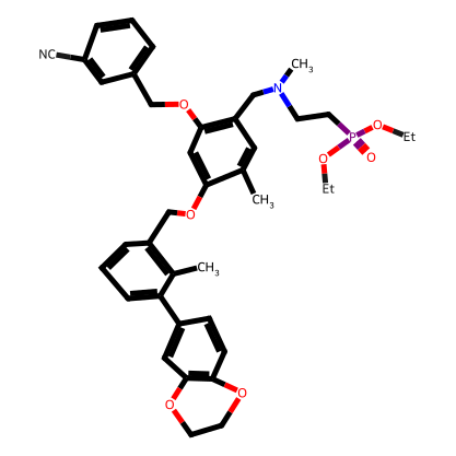 CCOP(=O)(CCN(C)Cc1cc(C)c(OCc2cccc(-c3ccc4c(c3)OCCO4)c2C)cc1OCc1cccc(C#N)c1)OCC